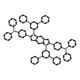 c1ccc(-c2cc(-c3ccccc3)cc(-n3c(-c4ccc(N(c5ccccc5)c5ccccc5)cc4)cc4cc5c(cc(-c6ccc(N(c7ccccc7)c7ccccc7)cc6)n5-c5cc(-c6ccccc6)cc(-c6ccccc6)c5)cc43)c2)cc1